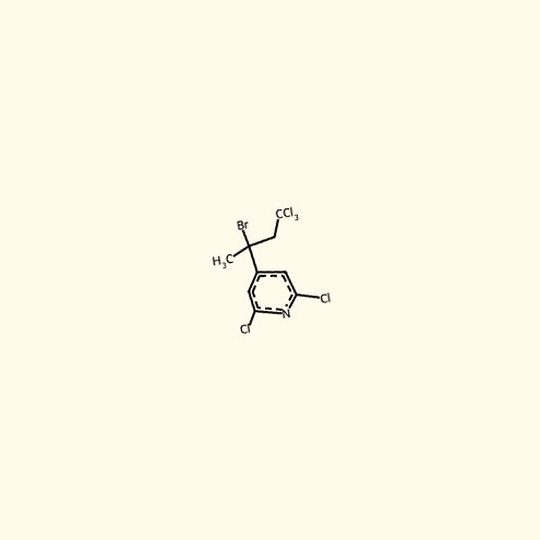 CC(Br)(CC(Cl)(Cl)Cl)c1cc(Cl)nc(Cl)c1